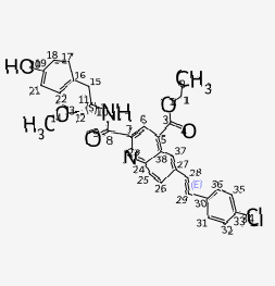 CCOC(=O)c1cc(C(=O)N[C@H](COC)Cc2ccc(O)cc2)nc2ccc(/C=C/c3ccc(Cl)cc3)cc12